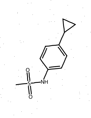 CS(=O)(=O)Nc1ccc(C2CC2)cc1